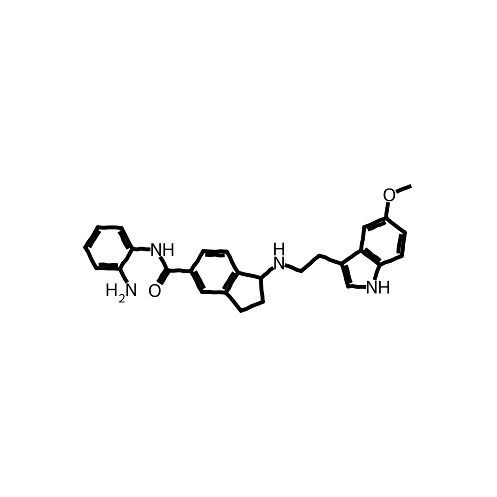 COc1ccc2[nH]cc(CCNC3CCc4cc(C(=O)Nc5ccccc5N)ccc43)c2c1